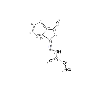 CC(C)(C)OC(=O)N/N=C1\CC(=O)c2ccccc21